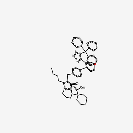 CCCCc1c(Cc2ccc(-c3ccccc3-c3nnnn3C(c3ccccc3)(c3ccccc3)c3ccccc3)cc2)c(=O)n2n1CCCC2C1(C(=O)O)CCCCC1